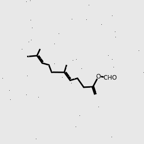 C=C(CC/C=C(\C)CCC=C(C)C)OC=O